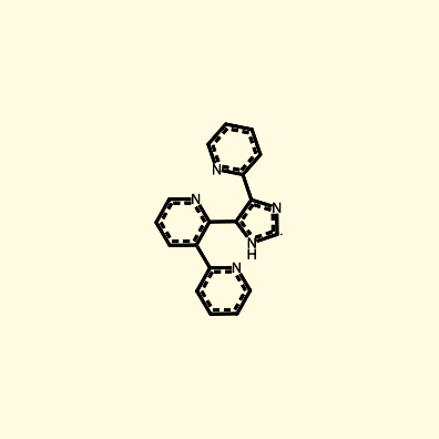 [c]1nc(-c2ccccn2)c(-c2ncccc2-c2ccccn2)[nH]1